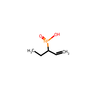 C=CC(CC)[PH](=O)O